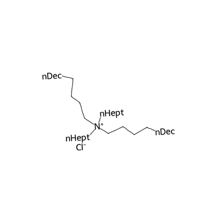 CCCCCCCCCCCCCC[N+](CCCCCCC)(CCCCCCC)CCCCCCCCCCCCCC.[Cl-]